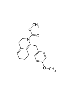 COC(=O)N1CCC2=CCCCC2=C1Cc1ccc(OC)cc1